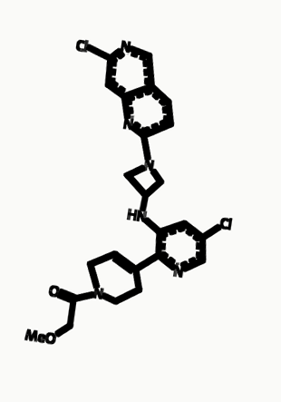 COCC(=O)N1CC=C(c2ncc(Cl)cc2NC2CN(c3ccc4cnc(Cl)cc4n3)C2)CC1